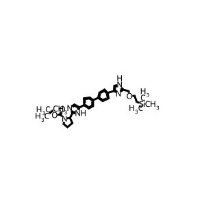 CC(C)(C)OC(=O)N1CCCC1c1ncc(-c2ccc(-c3ccc(-c4c[nH]c(COCC[Si](C)(C)C)n4)cc3)cc2)[nH]1